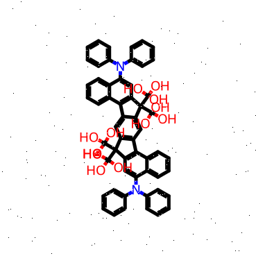 OC(O)(O)C1(C(O)(O)O)c2cc3c(cc2-c2c1cc(N(c1ccccc1)c1ccccc1)c1ccccc21)C(C(O)(O)O)(C(O)(O)O)c1cc(N(c2ccccc2)c2ccccc2)c2ccccc2c1-3